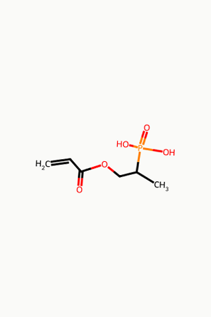 C=CC(=O)OCC(C)P(=O)(O)O